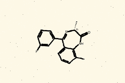 Cc1cccc2c1NC(=O)[C@@H](C)N=C2c1cccc(F)c1